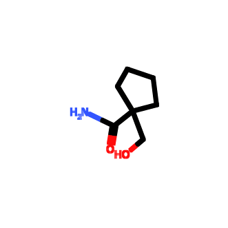 NC(=O)C1(CO)CCCC1